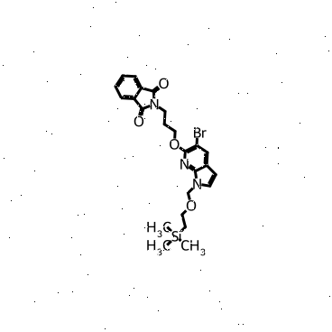 C[Si](C)(C)CCOCn1ccc2cc(Br)c(OCCCN3C(=O)c4ccccc4C3=O)nc21